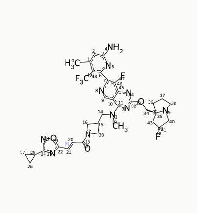 Cc1cc(N)nc(-c2ncc3c(N(C)CC4CN(C(=O)/C=C/c5nc(C6CC6)no5)C4)nc(OC[C@@]45CCCN4C[C@H](F)C5)nc3c2F)c1C(F)(F)F